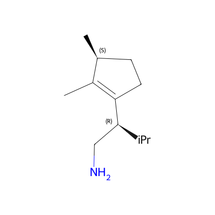 CC1=C([C@H](CN)C(C)C)CC[C@@H]1C